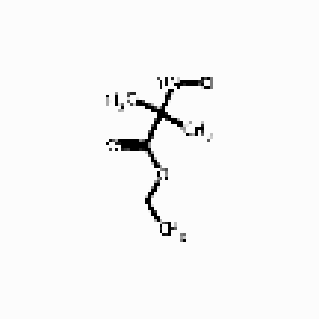 CCOC(=O)C(C)(C)NCl